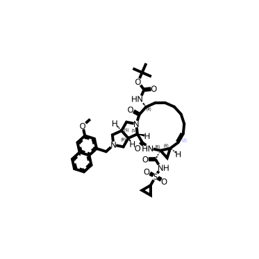 COc1cc(CN2C[C@H]3CN4C(=O)[C@H](NC(=O)OC(C)(C)C)CCCCC/C=C\[C@H]5C[C@@]5(C(=O)NS(=O)(=O)C5CC5)NC(=O)[C@@H]4[C@H]3C2)c2ccccc2c1